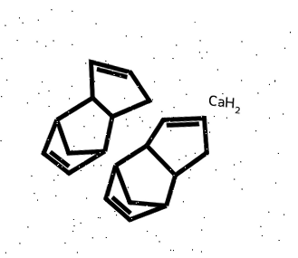 C1=CC2C3C=CC(C3)C2C1.C1=CC2C3C=CC(C3)C2C1.[CaH2]